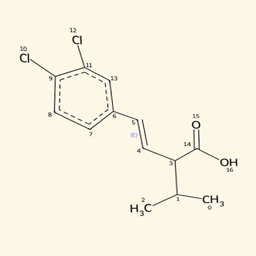 CC(C)C(/C=C/c1ccc(Cl)c(Cl)c1)C(=O)O